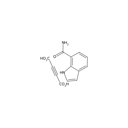 NC(=O)c1cccc2cc[nH]c12.O=C(O)C#CC(=O)O